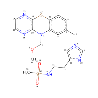 COCN1c2cc(Cn3cnc(CCNS(C)(=O)=O)c3)ccc2Sc2nccnc21